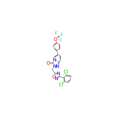 O=c1n(Cc2nc(-c3c(Cl)cccc3Cl)no2)nc2ccc(-c3ccc(OC(F)(F)F)cc3)cn12